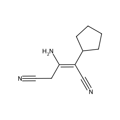 N#CCC(N)=C(C#N)C1CCCC1